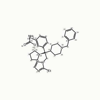 CCc1nccn1CC(c1cccc(F)c1)(C1CCN(Cc2ccccc2)CC1)[C@H]1CCC[C@@H]1OC(N)=O